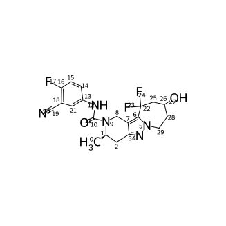 C[C@@H]1Cc2nn3c(c2CN1C(=O)Nc1ccc(F)c(C#N)c1)C(F)(F)CC(O)CC3